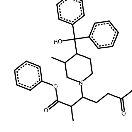 CC(=O)CCC(C(C)C(=O)Oc1ccccc1)N1CCC(C(O)(c2ccccc2)c2ccccc2)C(C)C1